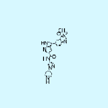 COc1ncnc2ccc(-c3c[nH]c4ncc(C(=O)Nc5cnn(C6CCNCC6)c5)cc34)cc12